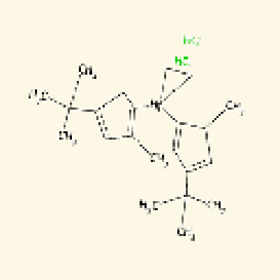 CC1=[C]([Hf]2([C]3=CC(C(C)(C)C)=CC3C)[CH2][CH2]2)CC(C(C)(C)C)=C1.Cl.Cl